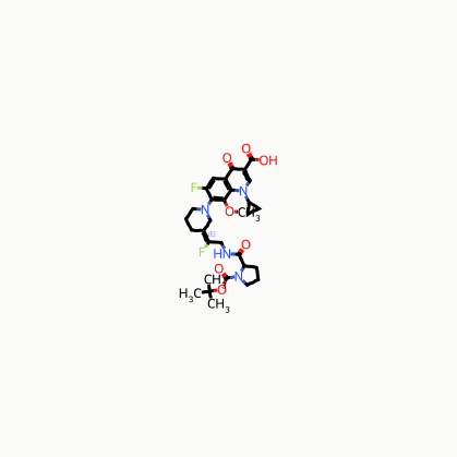 COc1c(N2CCC/C(=C(\F)CNC(=O)C3CCCN3C(=O)OC(C)(C)C)C2)c(F)cc2c(=O)c(C(=O)O)cn(C3CC3)c12